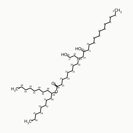 CCCCCCCCCCCCC(O)CN(CCO)CCCCCCCC(=O)OC(CCCCCCCC)CCCCCCCC